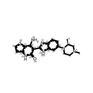 C[C@H]1CN(C)CCN1c1ccc2nc(-c3c(N)c4sccc4[nH]c3=O)[nH]c2c1